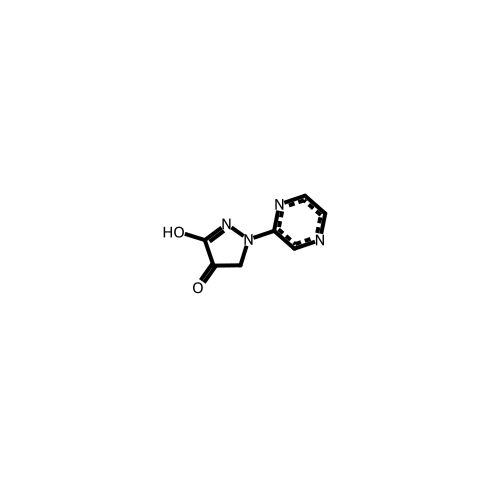 O=C1CN(c2cnccn2)N=C1O